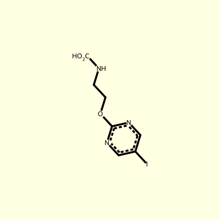 O=C(O)NCCOc1ncc(I)cn1